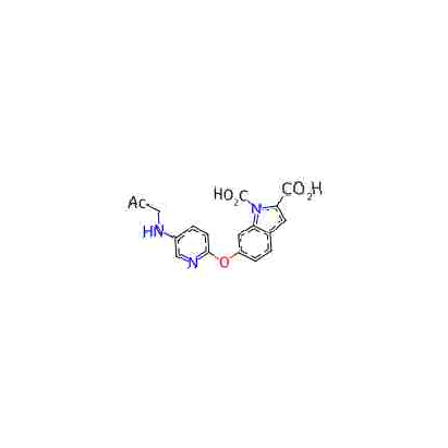 CC(=O)CNc1ccc(Oc2ccc3cc(C(=O)O)n(C(=O)O)c3c2)nc1